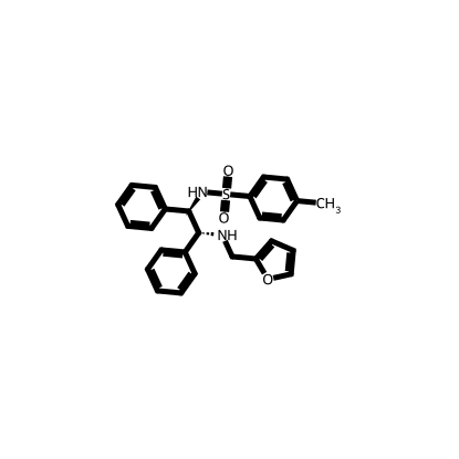 Cc1ccc(S(=O)(=O)N[C@H](c2ccccc2)[C@H](NCc2ccco2)c2ccccc2)cc1